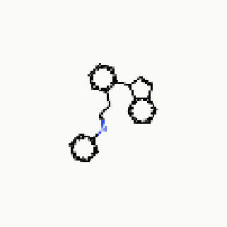 C1=CC(c2ccccc2CC=Nc2ccccc2)c2ccccc21